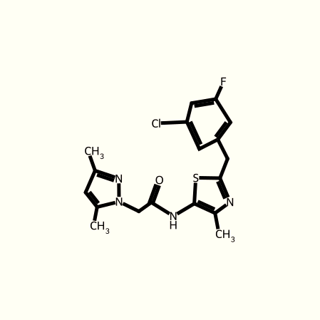 Cc1cc(C)n(CC(=O)Nc2sc(Cc3cc(F)cc(Cl)c3)nc2C)n1